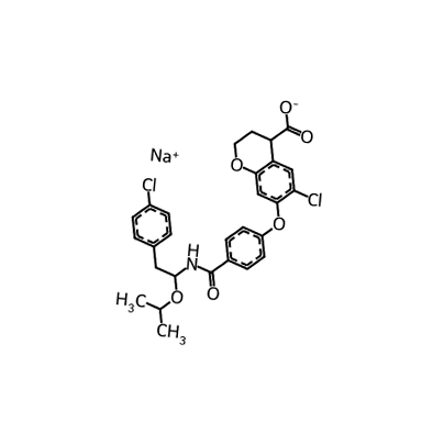 CC(C)OC(Cc1ccc(Cl)cc1)NC(=O)c1ccc(Oc2cc3c(cc2Cl)C(C(=O)[O-])CCO3)cc1.[Na+]